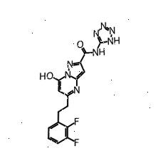 O=C(Nc1nnn[nH]1)c1cc2nc(CCc3cccc(F)c3F)cc(O)n2n1